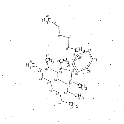 CCCCC.CCCCCC.CCCCCCC.CCCCCCCC.c1ccccc1